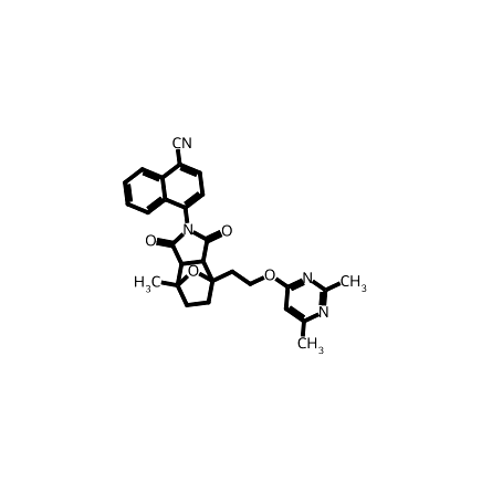 Cc1cc(OCCC23CCC(C)(O2)C2C(=O)N(c4ccc(C#N)c5ccccc45)C(=O)C23)nc(C)n1